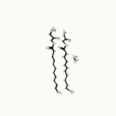 CCCCCCCCCCCC(=O)OCC(O)CO.CCCCCCCCCCCC(=O)OCC(O)CO.OO